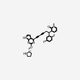 Cn1cccc(C(CC#CC#Cc2nc(OC[C@@H]3CCCN3)nc3[nH]ccc23)c2cc(F)ccc2F)c1=O